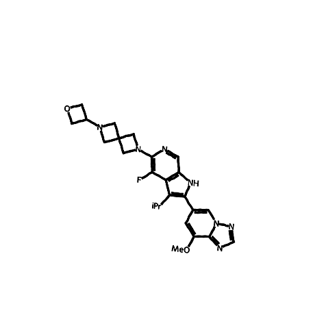 COc1cc(-c2[nH]c3cnc(N4CC5(C4)CN(C4COC4)C5)c(F)c3c2C(C)C)cn2ncnc12